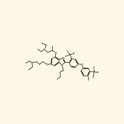 CCCCn1c(-c2ccc(Oc3ccc(F)c(C(F)(F)F)c3)cc2C(F)(F)F)nc2c(OC(C)CN(CC)CC)cc(OCCCN(CC)CC)cc21